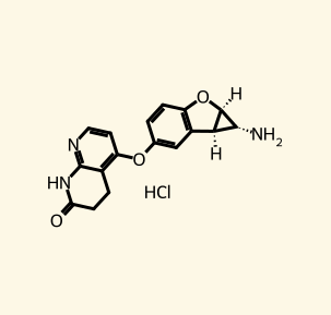 Cl.N[C@H]1[C@@H]2Oc3ccc(Oc4ccnc5c4CCC(=O)N5)cc3[C@H]12